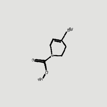 CCCOC(=O)N1CC=C(C(C)(C)C)CC1